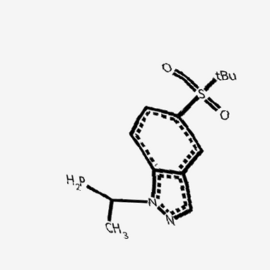 CC(P)n1ncc2cc(S(=O)(=O)C(C)(C)C)ccc21